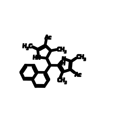 CC(=O)C1=C(C)NC(C(c2[nH]c(C)c(C(C)=O)c2C)c2cccc3ccccc23)C1C